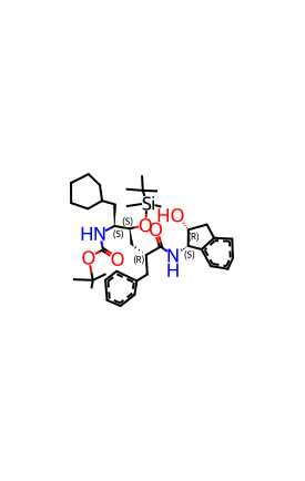 CC(C)(C)OC(=O)N[C@@H](CC1CCCCC1)[C@H](C[C@@H](Cc1ccccc1)C(=O)N[C@H]1c2ccccc2C[C@H]1O)O[Si](C)(C)C(C)(C)C